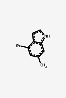 Cc1cc(C(C)C)c2cc[nH]c2c1